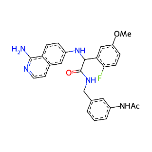 COc1ccc(F)c(C(Nc2ccc3c(N)nccc3c2)C(=O)NCc2cccc(NC(C)=O)c2)c1